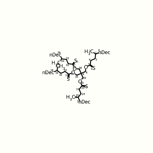 CCCCCCCCCCC(C)CCC(=S)OCC(COC(=S)CCC(C)CCCCCCCCCC)(COC(=S)CCC(C)CCCCCCCCCC)COC(=S)CCC(C)CCCCCCCCCC